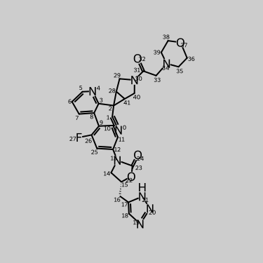 N#CC1(c2ncccc2-c2ccc(N3C[C@@H](Cc4cnn[nH]4)OC3=O)cc2F)C2CN(C(=O)CN3CCOCC3)CC21